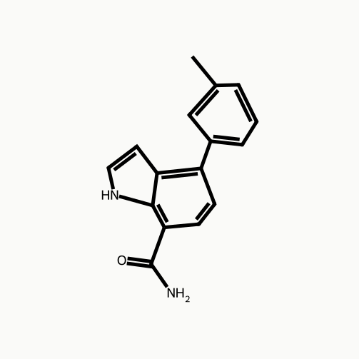 Cc1cccc(-c2ccc(C(N)=O)c3[nH]ccc23)c1